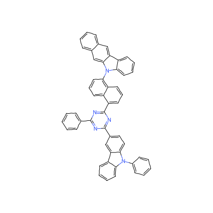 c1ccc(-c2nc(-c3ccc4c(c3)c3ccccc3n4-c3ccccc3)nc(-c3cccc4c(-n5c6ccccc6c6cc7ccccc7cc65)cccc34)n2)cc1